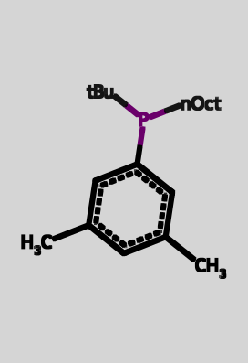 CCCCCCCCP(c1cc(C)cc(C)c1)C(C)(C)C